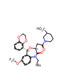 CC(C)(C)CN1C(=O)[C@H](CC(=O)N2CCCC(C(=O)O)C2)O[C@@H](c2cccc3c2OCCO3)c2cc(OC(F)(F)F)ccc21